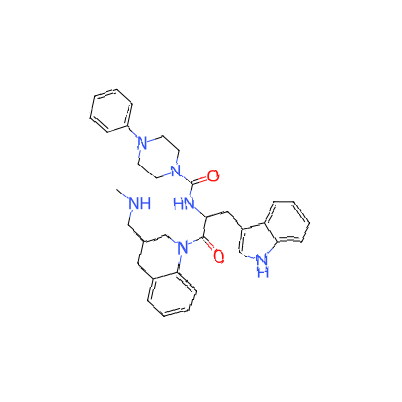 CNCC1Cc2ccccc2N(C(=O)C(Cc2c[nH]c3ccccc23)NC(=O)N2CCN(c3ccccc3)CC2)C1